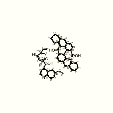 C=C[C@H]1C[N@]2CC[C@H]1C[C@@H]2[C@@H](O)c1ccnc2ccc(OC)cc12.O=C(O)c1ccc2cc3ccccc3cc2c1-c1c(C(=O)O)ccc2cc3ccccc3cc12